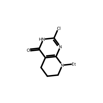 CCN1CCCc2c1nc(Cl)[nH]c2=O